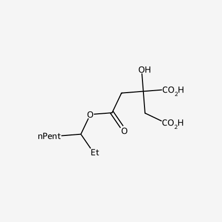 CCCCCC(CC)OC(=O)CC(O)(CC(=O)O)C(=O)O